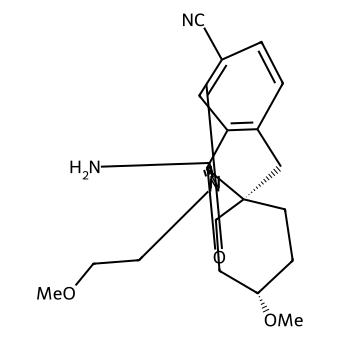 COCCN1C(=O)C2(N=C1N)c1cc(C#N)ccc1C[C@]21CC[C@@H](OC)CC1